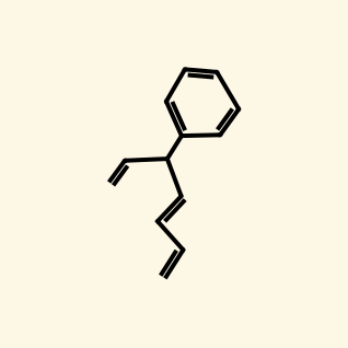 C=CC=CC(C=C)c1ccccc1